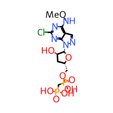 CONc1nc(Cl)nc2c1cnn2[C@@H]1O[C@H](COP(=O)(O)CP(=O)(O)O)C[C@H]1O